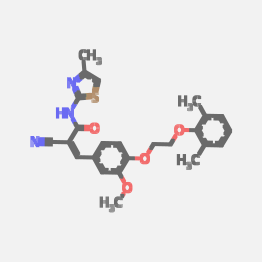 COc1cc(C=C(C#N)C(=O)Nc2nc(C)cs2)ccc1OCCOc1c(C)cccc1C